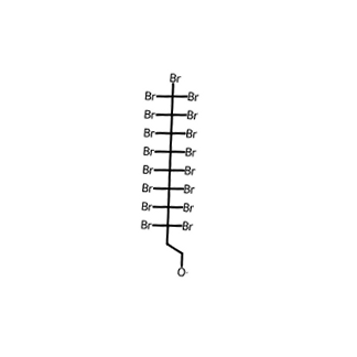 [O]CCC(Br)(Br)C(Br)(Br)C(Br)(Br)C(Br)(Br)C(Br)(Br)C(Br)(Br)C(Br)(Br)C(Br)(Br)Br